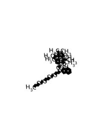 CCCOCCOCCOCCOCCO[C@@H]1Cc2ccccc2[C@@H]1NC(=O)[C@@H]1CCCN1C(=O)[C@@H](NC(=O)[C@H](C)N(C)C(=O)OC(C)(C)C)C(C)(C)C